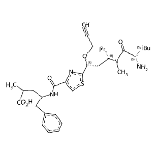 C#CCO[C@H](C[C@H](C(C)C)N(C)C(=O)[C@@H](N)[C@@H](C)CC)c1nc(C(=O)NC(Cc2ccccc2)CC(C)C(=O)O)cs1